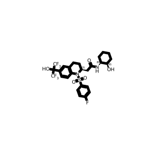 O=C(C[C@@H]1CCc2cc(C(O)(C(F)(F)F)C(F)(F)F)ccc2N1S(=O)(=O)c1ccc(F)cc1)N[C@@H]1CCCC[C@H]1O